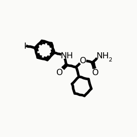 NC(=O)OC(C(=O)Nc1ccc(I)cc1)C1CCCCC1